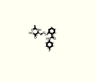 CC(=O)N[C@@H](CS[Se]c1ccccc1C(=O)Nc1ccc(F)cc1)C(=O)O